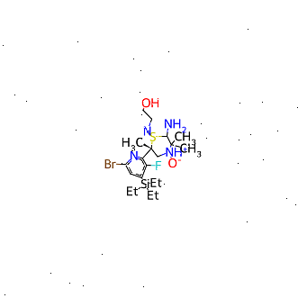 CC[Si](CC)(CC)c1cc(Br)nc([C@@]2(C)C[NH+]([O-])C(C)(C)C(N)S2=NCCO)c1F